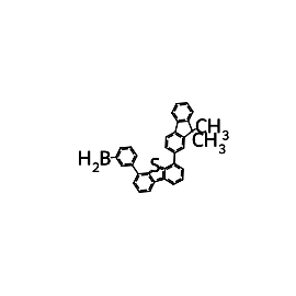 Bc1cccc(-c2cccc3c2sc2c(-c4ccc5c(c4)C(C)(C)c4ccccc4-5)cccc23)c1